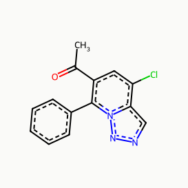 CC(=O)c1cc(Cl)c2cnnn2c1-c1ccccc1